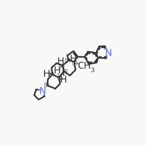 C[C@]12CC[C@H]3[C@@H](CC[C@H]4C[C@@H](N5CCCC5)CC[C@@H]43)[C@@H]1CC=C2c1ccc2cnccc2c1